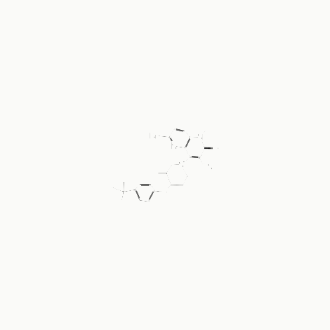 CCC(C)(C)c1ccc(OC2CCN(c3c(C#N)c(=O)n(C)c4ccc(Br)nc34)CC2C)cc1